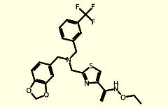 C=C(NOCC)c1csc(CN(Cc2cccc(C(F)(F)F)c2)Cc2ccc3c(c2)OCO3)n1